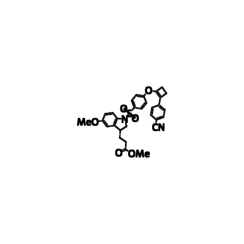 COC(=O)CCC1CN(S(=O)(=O)c2ccc(OC3=C(c4ccc(C#N)cc4)CC3)cc2)c2ccc(OC)cc21